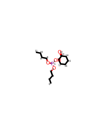 CCCCOP(O)OCCCC.O=C1CCCCC1